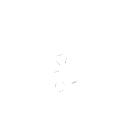 CCCc1ccc(OC(=O)c2ccc(C3CCC(CCC)CC3)cc2)c(C#N)c1